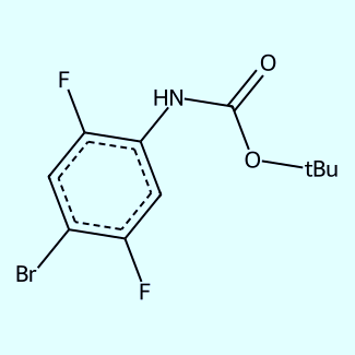 CC(C)(C)OC(=O)Nc1cc(F)c(Br)cc1F